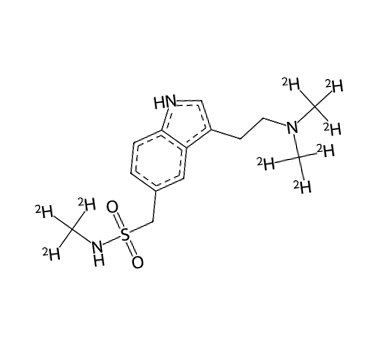 [2H]C([2H])([2H])NS(=O)(=O)Cc1ccc2[nH]cc(CCN(C([2H])([2H])[2H])C([2H])([2H])[2H])c2c1